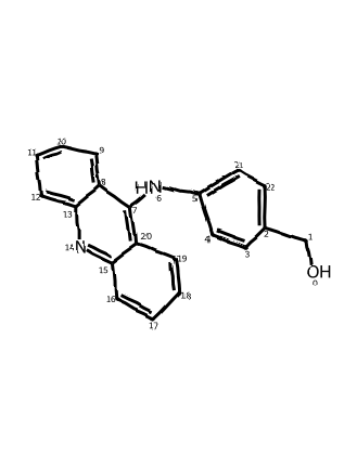 OCc1ccc(Nc2c3ccccc3nc3ccccc23)cc1